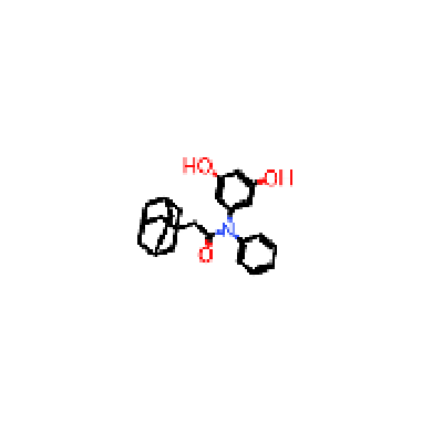 O=C(CC12CC3CC(CC(C3)C1)C2)N(c1ccccc1)c1cc(O)cc(O)c1